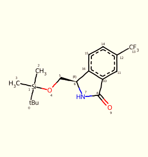 CC(C)(C)[Si](C)(C)OC[C@@H]1NC(=O)c2cc(C(F)(F)F)ccc21